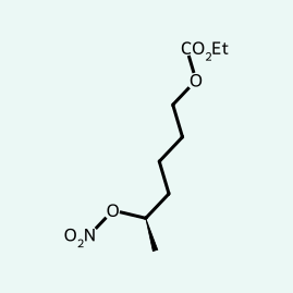 CCOC(=O)OCCCC[C@@H](C)O[N+](=O)[O-]